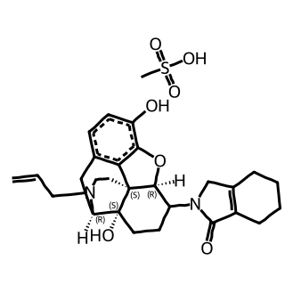 C=CCN1CC[C@]23c4c5ccc(O)c4O[C@H]2C(N2CC4=C(CCCC4)C2=O)CC[C@@]3(O)[C@H]1C5.CS(=O)(=O)O